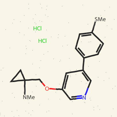 CNC1(COc2cncc(-c3ccc(SC)cc3)c2)CC1.Cl.Cl